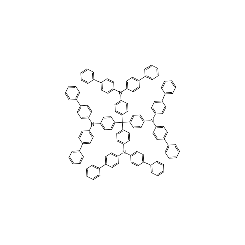 c1ccc(-c2ccc(N(c3ccc(-c4ccccc4)cc3)c3ccc(C(c4ccc(N(c5ccc(-c6ccccc6)cc5)c5ccc(-c6ccccc6)cc5)cc4)(c4ccc(N(c5ccc(-c6ccccc6)cc5)c5ccc(-c6ccccc6)cc5)cc4)c4ccc(N(c5ccc(-c6ccccc6)cc5)c5ccc(-c6ccccc6)cc5)cc4)cc3)cc2)cc1